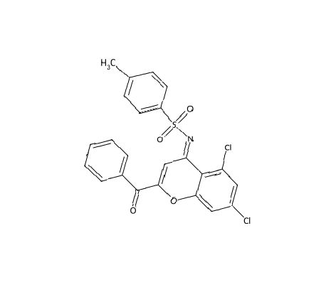 Cc1ccc(S(=O)(=O)N=c2cc(C(=O)c3ccccc3)oc3cc(Cl)cc(Cl)c23)cc1